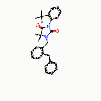 CC(C)(C)c1ccccc1N1C(=O)N(Cc2ccccc2Cc2ccccc2)C(C)(C)C1=O